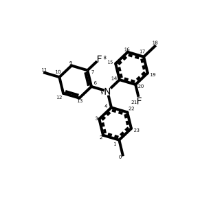 Cc1ccc(N(C2=C(F)CC(C)C=C2)c2ccc(C)cc2F)cc1